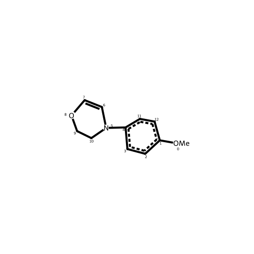 COc1ccc(N2C=COCC2)cc1